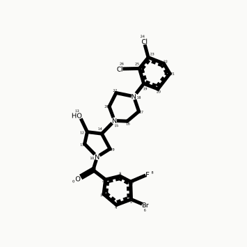 O=C(c1ccc(Br)c(F)c1)N1CC(O)C(N2CCN(c3cccc(Cl)c3Cl)CC2)C1